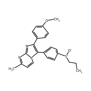 CCC[S+]([O-])c1ccc(-c2c(-c3ccc(OC)cc3)nc3nc(C)ccn23)cc1